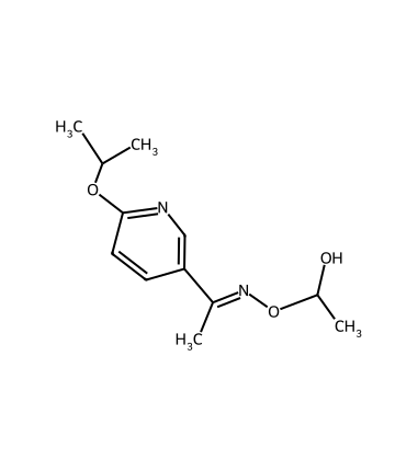 CC(=NOC(C)O)c1ccc(OC(C)C)nc1